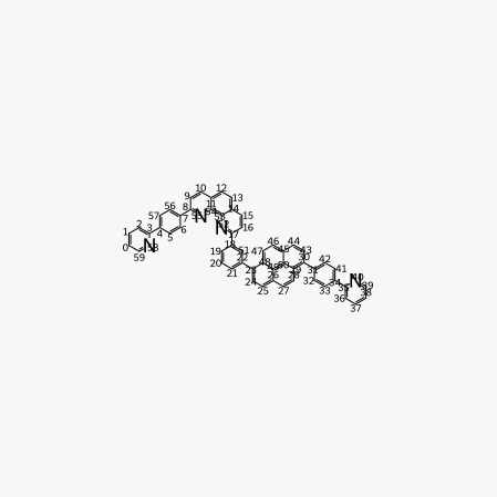 c1ccc(-c2ccc(-c3ccc4ccc5ccc(-c6cccc(-c7ccc8ccc9c(-c%10ccc(-c%11ccccn%11)cc%10)ccc%10ccc7c8c%109)c6)nc5c4n3)cc2)nc1